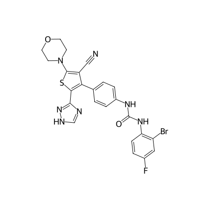 N#Cc1c(N2CCOCC2)sc(-c2nc[nH]n2)c1-c1ccc(NC(=O)Nc2ccc(F)cc2Br)cc1